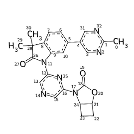 Cc1ncc(-c2ccc3c(c2)N(c2cncc(N4C(=O)OC5CCC54)n2)C(=O)C3(C)C)cn1